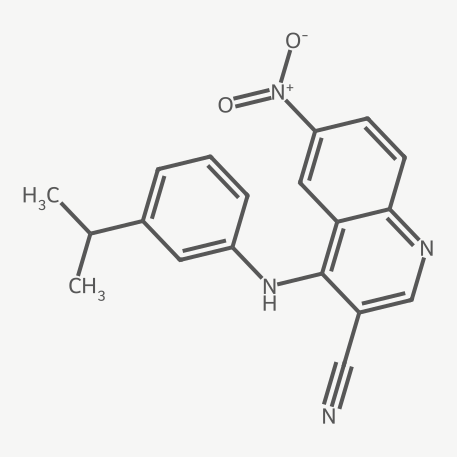 CC(C)c1cccc(Nc2c(C#N)cnc3ccc([N+](=O)[O-])cc23)c1